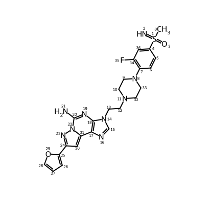 CS(=N)(=O)c1ccc(N2CCN(CCn3cnc4c3nc(N)n3nc(-c5ccco5)cc43)CC2)c(F)c1